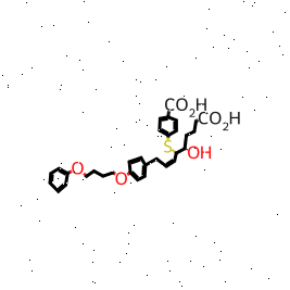 O=C(O)CCC[C@H](O)[C@@H](/C=C\Cc1ccc(OCCCCOc2ccccc2)cc1)Sc1ccc(C(=O)O)cc1